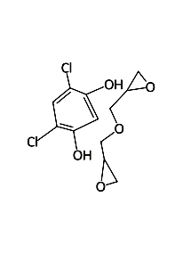 C(OCC1CO1)C1CO1.Oc1cc(O)c(Cl)cc1Cl